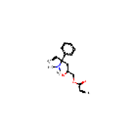 C=CC(=O)OCC(O)CC(C=C)(c1ccccc1)N(C)C